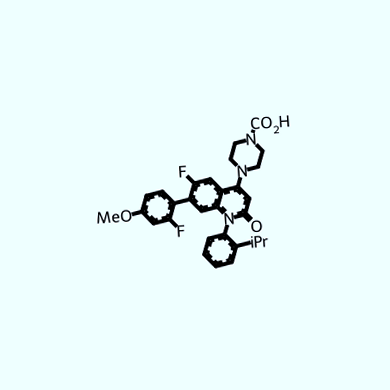 COc1ccc(-c2cc3c(cc2F)c(N2CCN(C(=O)O)CC2)cc(=O)n3-c2ccccc2C(C)C)c(F)c1